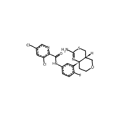 NC1=N[C@@]2(c3cc(NC(=O)c4ncc(Cl)cc4Cl)ccc3F)CCOC[C@H]2CS1